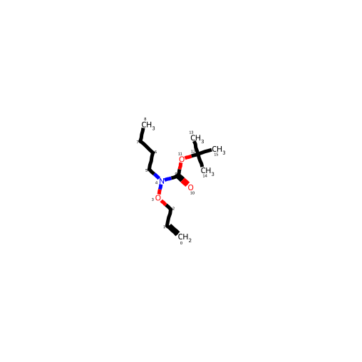 C=CCON(CCCC)C(=O)OC(C)(C)C